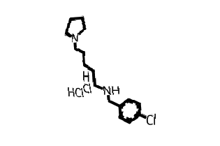 Cl.Cl.Clc1ccc(CNCCCCCN2CCCC2)cc1